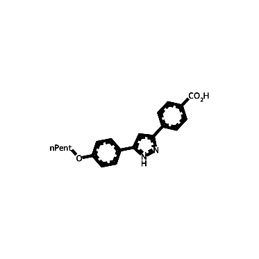 CCCCCOc1ccc(-c2cc(-c3ccc(C(=O)O)cc3)n[nH]2)cc1